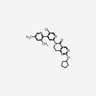 Cc1cnc(-c2cc(N3CCc4nc(OC5CCCC5)ncc4C3=O)ncc2Cl)c(C)c1